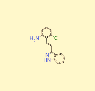 Nc1cccc(Cl)c1/C=C/c1n[nH]c2ccccc12